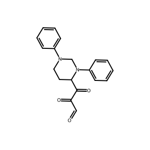 O=CC(=O)C(=O)C1CCN(c2ccccc2)CN1c1ccccc1